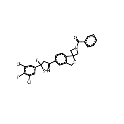 O=C(c1ccccc1)N1CC2(C1)OCc1cc(C3=NSC(F)(c4cc(Cl)c(F)c(Cl)c4)C3)ccc12